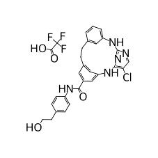 O=C(Nc1ccc(CCO)cc1)c1cc2cc(c1)Nc1nc(ncc1Cl)Nc1cccc(c1)CC2.O=C(O)C(F)(F)F